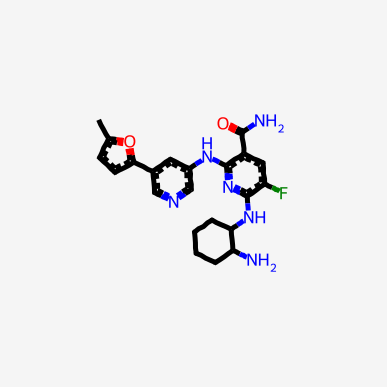 Cc1ccc(-c2cncc(Nc3nc(NC4CCCCC4N)c(F)cc3C(N)=O)c2)o1